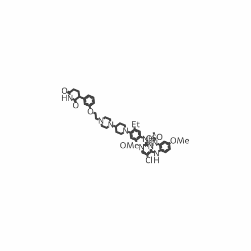 CCc1cc(Nc2ncc(Cl)c(Nc3ccc(OC)cc3NS(C)(=O)=O)n2)c(OC)cc1N1CCC(N2CCN(CCOc3cccc(C4CCC(=O)NC4=O)c3)CC2)CC1